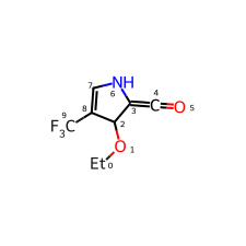 CCOC1C(=C=O)NC=C1C(F)(F)F